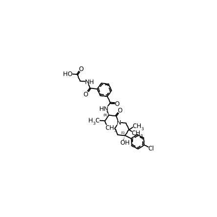 CC(C)[C@@H](NC(=O)c1cccc(C(=O)NCC(=O)O)c1)C(=O)N1CC[C@](O)(c2ccc(Cl)cc2)C(C)(C)C1